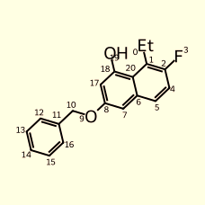 CCc1c(F)ccc2cc(OCc3ccccc3)cc(O)c12